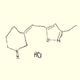 Cc1cc(C=C2CCCNC2)on1.Cl